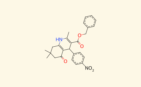 CC1=C(C(=O)OCc2ccccc2)C(c2ccc([N+](=O)[O-])cc2)C2=C(CC(C)(C)CC2=O)N1